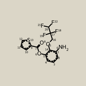 Nc1cccc(OC(=O)c2cccs2)c1OCC(F)(F)C(F)F